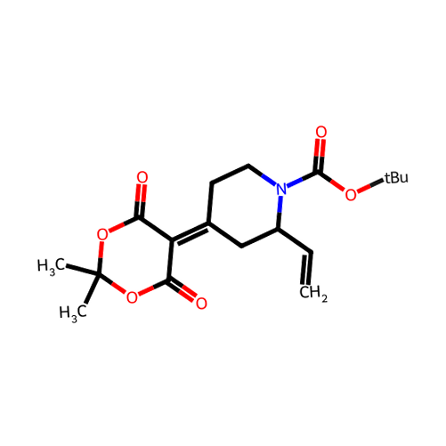 C=CC1CC(=C2C(=O)OC(C)(C)OC2=O)CCN1C(=O)OC(C)(C)C